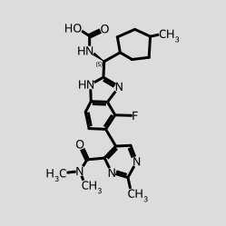 Cc1ncc(-c2ccc3[nH]c([C@@H](NC(=O)O)C4CCC(C)CC4)nc3c2F)c(C(=O)N(C)C)n1